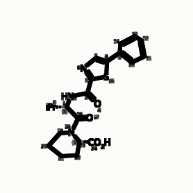 CC(C)[C@H](NC(=O)c1ncc(-c2ccccc2)s1)C(=O)N1CCCC[C@H]1C(=O)O